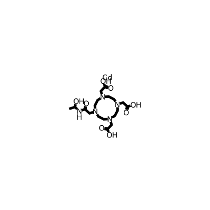 CC(O)NC(=O)CN1CCN(CC(=O)O)CCN(CC(=O)O)CCN(CC(=O)O)CC1.[Gd]